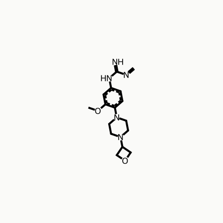 C=NC(=N)Nc1ccc(N2CCN(C3COC3)CC2)c(OC)c1